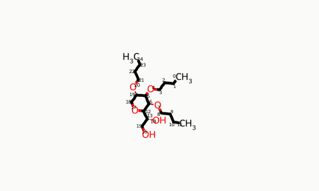 CCCCOC1[C@H](OCCCC)C([C@H](O)CO)OC[C@@H]1OCCCC